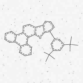 CC(C)(C)c1cc(-c2cccc3c2oc2c3ccc3c4ccccc4c4ccccc4c32)cc(C(C)(C)C)c1